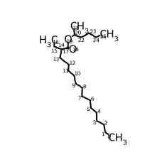 CCCCCCCCCCCCCCC(CC)C(=O)OC(C)CCCC